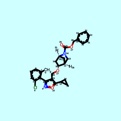 Cc1cccc(Cl)c1-c1noc(C2CC2)c1CO[C@@H]1C[C@@H]2C[C@H]1CN2C(=O)OCc1ccccc1